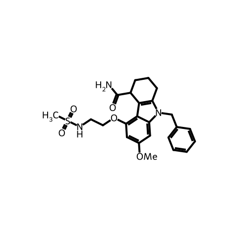 COc1cc(OCCNS(C)(=O)=O)c2c3c(n(Cc4ccccc4)c2c1)CCCC3C(N)=O